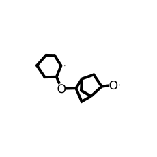 [O]C1CC2CC1CC2OC1[CH]CCCC1